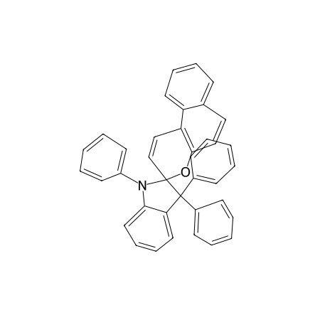 C1=CC2(Oc3ccc4ccccc4c31)N(c1ccccc1)c1ccccc1C2(c1ccccc1)c1ccccc1